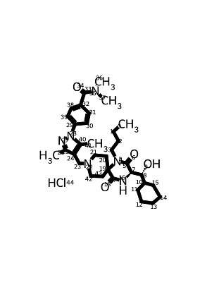 CCCCN1C(=O)[C@@H]([C@H](O)C2CCCCC2)NC(=O)C12CCN(Cc1c(C)nn(-c3ccc(C(=O)N(C)C)cc3)c1C)CC2.Cl